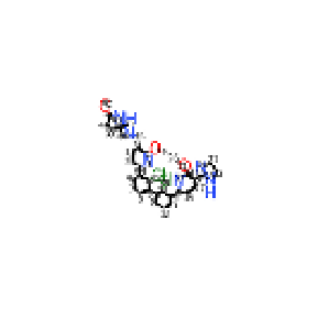 COc1nc(-c2cccc(-c3cccc(-c4ccc(C5=NCCN5)c(OC)n4)c3Cl)c2Cl)ccc1CN1CC2(CCC(=O)N2)C1